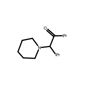 CC(C)C(=O)C(C(C)C)N1CCCCC1